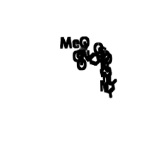 COC[C@@H]1COC(=O)N1c1ccc(C(=O)N2CCN(c3ncc(C)cc3C)CC2)c(S(C)(=O)=O)c1